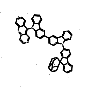 C1=C2CC3CC1CC(C2)C31c2ccccc2-c2ccc(-n3c4ccccc4c4cc(-c5ccc6c(c5)c5ccccc5n6-c5c6ccccc6nc6ccccc56)ccc43)cc21